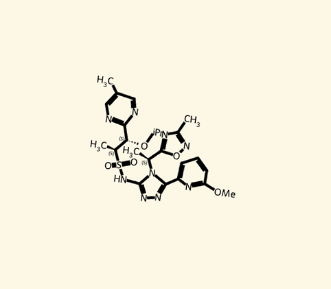 COc1cccc(-c2nnc(NS(=O)(=O)[C@@H](C)[C@@H](OC(C)C)c3ncc(C)cn3)n2[C@@H](C)c2nc(C)no2)n1